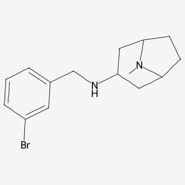 CN1C2CCC1CC(NCc1cccc(Br)c1)C2